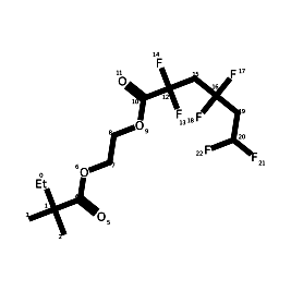 CCC(C)(C)C(=O)OCCOC(=O)C(F)(F)CC(F)(F)CC(F)F